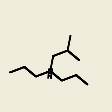 CCC[SiH](CCC)CC(C)C